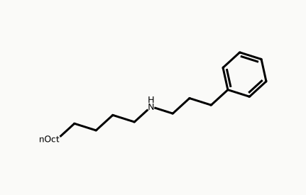 CCCCCCCCCCCCNCCCc1ccccc1